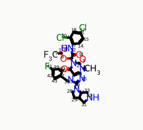 Cn1c(=O)n(C(OC(=O)C(F)(F)F)C(=O)Nc2ccc(Cl)cc2Cl)c(=O)c2c1nc(N1CCC3CNCC31)n2Cc1ccc(F)cc1